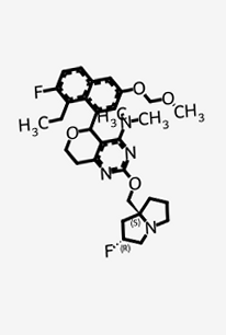 CCc1c(F)ccc2cc(OCOC)cc(C3OCCc4nc(OC[C@@]56CCCN5C[C@H](F)C6)nc(N(C)C)c43)c12